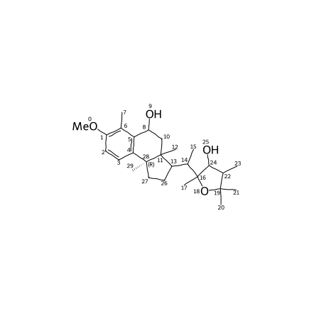 COc1ccc2c(c1C)C(O)CC1(C)C(C(C)C3(C)OC(C)(C)C(C)C3O)CC[C@@]21C